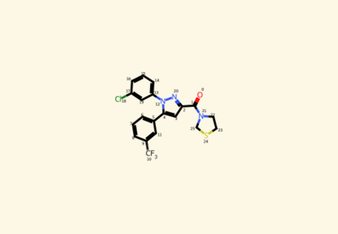 O=C(c1cc(-c2cccc(C(F)(F)F)c2)n(-c2cccc(Cl)c2)n1)N1CCSC1